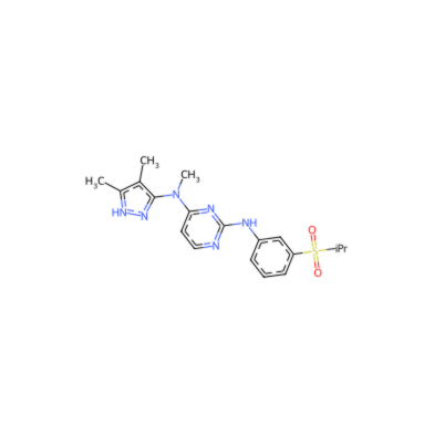 Cc1[nH]nc(N(C)c2ccnc(Nc3cccc(S(=O)(=O)C(C)C)c3)n2)c1C